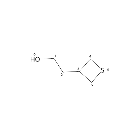 OCCC1CSC1